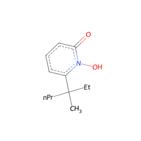 CCCC(C)(CC)c1cccc(=O)n1O